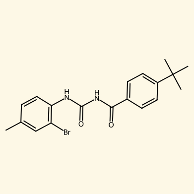 Cc1ccc(NC(=O)NC(=O)c2ccc(C(C)(C)C)cc2)c(Br)c1